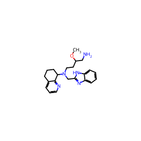 COC(CN)CCN(Cc1nc2ccccc2[nH]1)C1CCCc2cccnc21